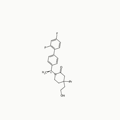 CC(C)C1(CCO)CCN([C@@H](C)c2ccc(-c3ccc(F)cc3F)cc2)C(=O)C1